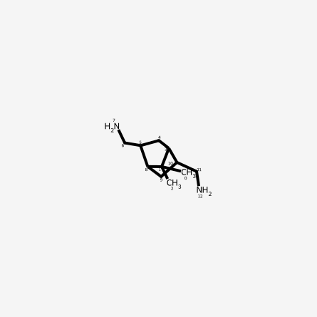 CC1(C)C2CC(CN)C1CC2CN